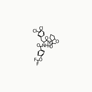 O=C(NC(Cc1ccc(Cl)c(Cl)c1)C(=O)NC12CCCC1OCC2=O)c1ccc(OC(F)F)cc1